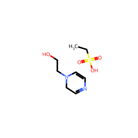 CCS(=O)(=O)O.OCCN1C=CN=CC1